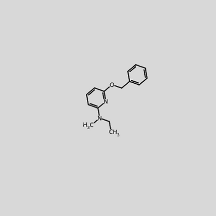 CCN(C)c1cccc(OCc2ccccc2)n1